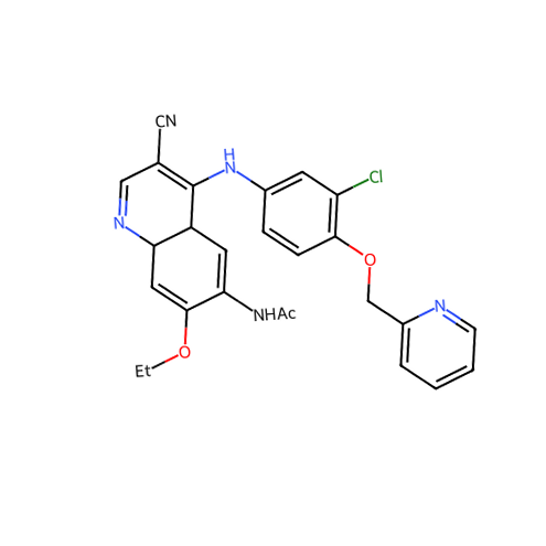 CCOC1=CC2N=CC(C#N)=C(Nc3ccc(OCc4ccccn4)c(Cl)c3)C2C=C1NC(C)=O